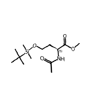 COC(=O)[C@H](CCO[Si](C)(C)C(C)(C)C)NC(C)=O